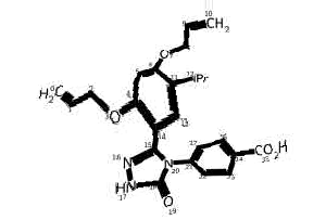 C=CCOc1cc(OCC=C)c(C(C)C)cc1-c1n[nH]c(=O)n1-c1ccc(C(=O)O)cc1